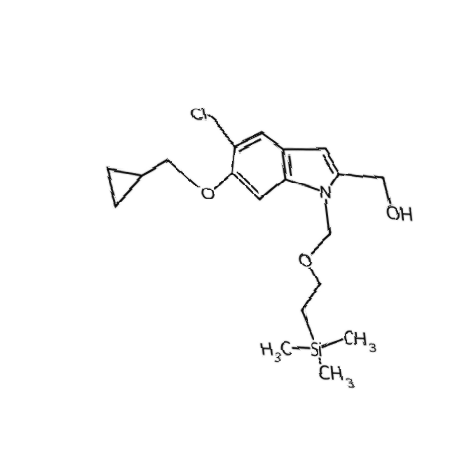 C[Si](C)(C)CCOCn1c(CO)cc2cc(Cl)c(OCC3CC3)cc21